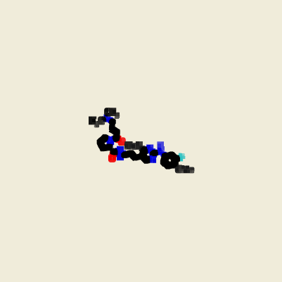 CNc1nc(Nc2ccc(OC)c(F)c2)ncc1CCCNC(=O)[C@@H]1CCCN1C(=O)/C=C/CN(C)C